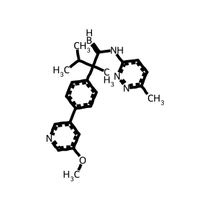 B=C(Nc1ccc(C)nn1)C(C)(c1ccc(-c2cncc(OC)c2)cc1)C(C)C